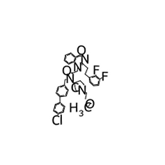 COCCN1CCC(N(Cc2ccc(-c3ccc(Cl)cc3)cc2)C(=O)Cn2c(CCc3cccc(F)c3F)nc(=O)c3ccccc32)CC1